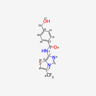 O=C(Nc1ncn2c(C(F)(F)F)csc12)c1ccc(CO)cc1